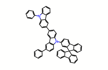 c1ccc(-c2ccc3c(c2)c2cc(-c4ccc5c(c4)c4ccccc4n5-c4ccccc4)ccc2n3-c2ccc3c(c2)C2(c4ccccc4-c4ccccc42)c2ccccc2-3)cc1